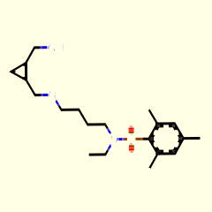 CCN(CCCCNCC1CC1CN)S(=O)(=O)c1c(C)cc(C)cc1C